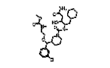 COC(=O)NCCOC(c1cccc(Cl)c1)C1CCCN(C(=O)NC(CC2CCCCC2)C(O)CC(N)=O)C1